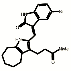 CNC(=O)CCc1c(/C=C2\C(=O)Nc3ccc(Br)cc32)[nH]c2c1CCCCC2